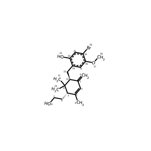 C=C1C=C(C)[C@H](CCO)C(C)(C)[C@H]1Cc1cc(OC)c(Br)cc1O